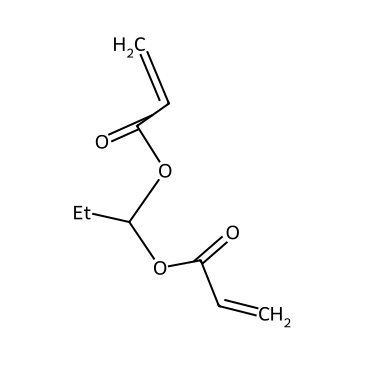 C=CC(=O)OC(CC)OC(=O)C=C